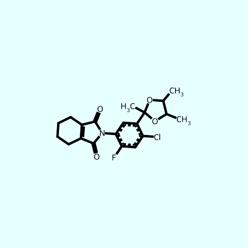 CC1OC(C)(c2cc(N3C(=O)C4=C(CCCC4)C3=O)c(F)cc2Cl)OC1C